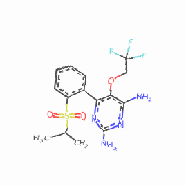 CC(C)S(=O)(=O)c1ccccc1-c1nc(N)nc(N)c1OCC(F)(F)F